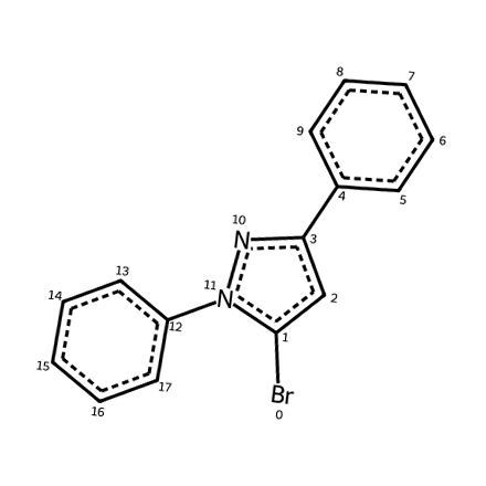 Brc1cc(-c2ccccc2)nn1-c1ccccc1